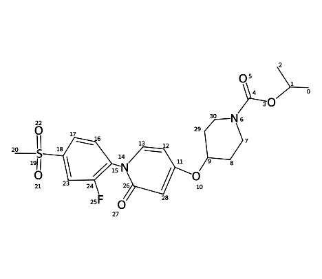 CC(C)OC(=O)N1CCC(Oc2ccn(-c3ccc(S(C)(=O)=O)cc3F)c(=O)c2)CC1